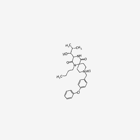 CCCCN1C(=O)C(C(O)C(C)C)NC(=O)C12CCN(Cc1ccc(Oc3ccccc3)cc1)CC2.Cl